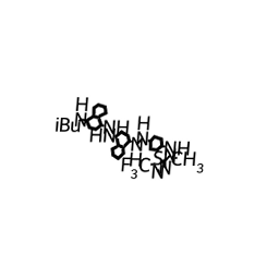 CCC(C)Nc1ccc(NNc2ccc(NNc3ccc(NN(C)c4nnc(C(F)(F)F)s4)cc3)c3ccccc23)c2ccccc12